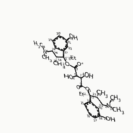 CC[C@@](OC(=O)C(O)C(O)C(=O)O[C@](CC)(c1cccc(O)c1)[C@H](C)CN(C)C)(c1cccc(O)c1)[C@H](C)CN(C)C